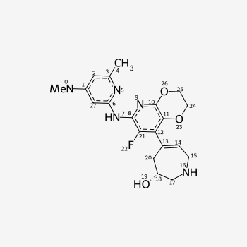 CNc1cc(C)nc(Nc2nc3c(c(C4=CCNC[C@H](O)C4)c2F)OCCO3)c1